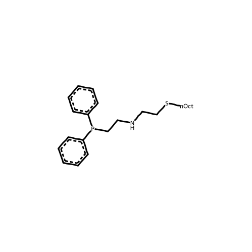 CCCCCCCCSCCNCCP(c1ccccc1)c1ccccc1